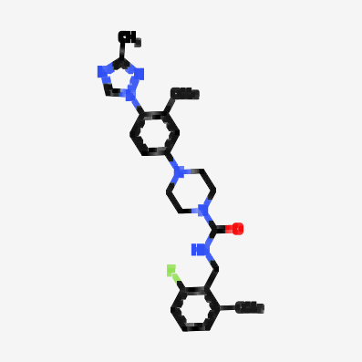 COc1cc(N2CCN(C(=O)NCc3c(F)cccc3OC)CC2)ccc1-n1cnc(C)n1